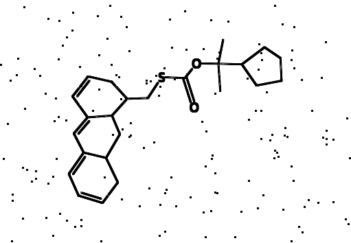 CC(C)(OC(=O)SCC1CC=CC2=CC3=CC=CCC3CC21)C1CCCC1